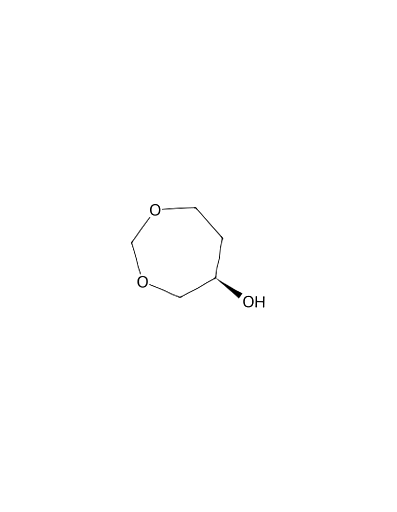 O[C@@H]1CCOCOC1